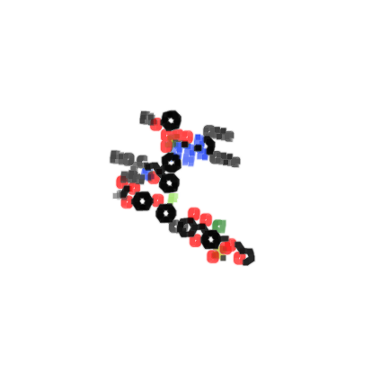 CCCCOC(=O)[C@@H](C)Oc1ccc(Oc2ccc(C#N)cc2F)cc1.CCOC(=O)C1=NOC(c2ccccc2)(c2ccccc2)C1.CCOc1ccccc1OS(=O)(=O)NC(=O)Nc1nc(OC)cc(OC)n1.CS(=O)(=O)c1ccc(C(=O)C2C(=O)CCCC2=O)c(Cl)c1COCC1CCCO1